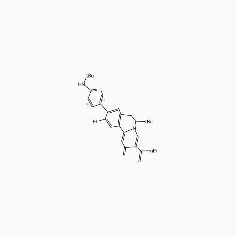 C=C(/C=C\C(=C/C)c1cc2c(cc1CC)C1=CC(=C)C(C(=C)CCC)=CN1C(C(C)(C)C)C2)NC(C)(C)C